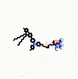 [C-]#[N+]C([N+]#[C-])=C1OC(C)(C)C(/C=C/c2ccc(/C=C/c3ccc(N(c4ccc(C)cc4)c4ccc(-c5ccc6c(c5)C(CCCCCCCC)(CCCCCCCC)c5cc(C)ccc5-6)cc4)cc3)s2)=C1[N+]#[C-]